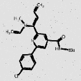 C=C/C=C(/c1cc(C(=O)NC(C)(C)C)cc(-c2ccc(Cl)cc2)n1)N(C)C=C